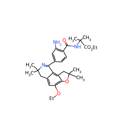 CCOC(=O)C(C)(C)NC(=O)c1ccc(C2=NC(C)(C)Cc3cc(OCC)c4c(c32)CC(C)(C)O4)cc1N